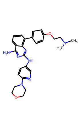 CN(C)CCOc1ccc(-c2cccc3c(N)nc(Nc4ccc(N5CCOCC5)nc4)nc23)cc1